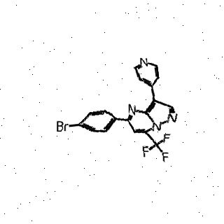 FC(F)(F)c1cc(-c2ccc(Br)cc2)nc2c(-c3ccncc3)cnn12